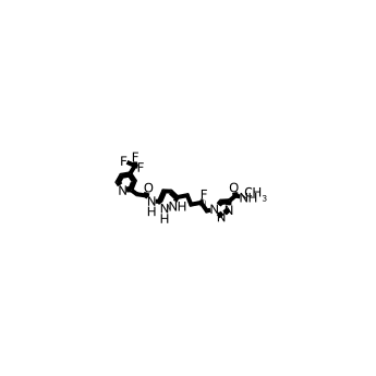 CNC(=O)c1cn(C[C@H](F)CCC2=CC=C(NC(=O)Cc3cc(C(F)(F)F)ccn3)NN2)nn1